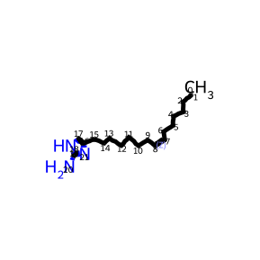 CCCCCCC/C=C\CCCCCCCc1c[nH]c(N)n1